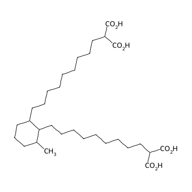 CC1CCCC(CCCCCCCCCC(C(=O)O)C(=O)O)C1CCCCCCCCCC(C(=O)O)C(=O)O